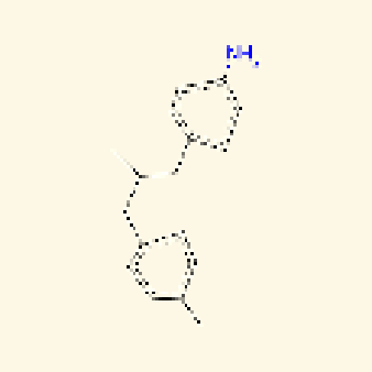 Cc1ccc(CC(C)Cc2ccc(N)cc2)cc1